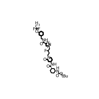 CC(C)(C)OC(=O)N[C@@H]1CCC[C@@H](C(=O)Nc2ccn(CCC(F)Cn3cc(C(=O)NCc4cccc(OC(C)(F)F)c4)nn3)c(=O)c2)C1